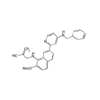 C=C(C#N)CNc1c(OC)ccc2ccc(-c3cc(NCc4ccccc4)ccn3)cc12